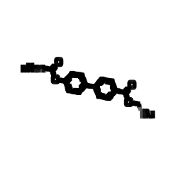 CCCCCCCCCC(=O)Oc1ccc(-c2ccc(C(=O)OC[C@@H](C)CC)cc2)cc1